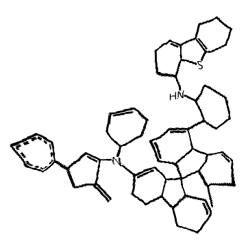 C=C1CC(c2ccccc2)C=C1N(C1=CC2C(CC1)C1CCC=CC1C21C2C=CC=C(C3CCCCC3NC3CCC=C4C5=C(CCCC5)SC43)C2C2C=CCC(C)C21)C1CC=CCC1